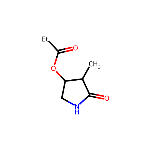 CCC(=O)OC1CNC(=O)C1C